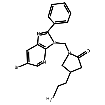 CCCC1CC(=O)N(Cn2c(-c3ccccc3)nc3cc(Br)cnc32)C1